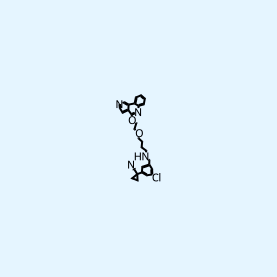 N#CC1(c2cc(Cl)cc(CNCCCCOCCOc3nc4ccccc4c4cnccc34)c2)CC1